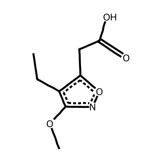 CCc1c(OC)noc1CC(=O)O